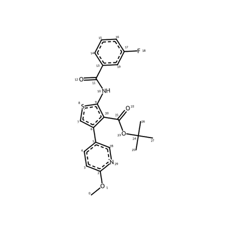 COc1ccc(-c2csc(NC(=O)c3cccc(F)c3)c2C(=O)OC(C)(C)C)cn1